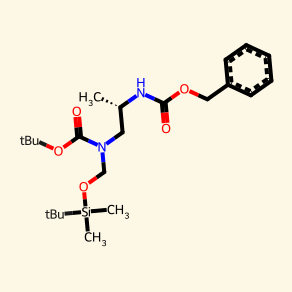 C[C@@H](CN(CO[Si](C)(C)C(C)(C)C)C(=O)OC(C)(C)C)NC(=O)OCc1ccccc1